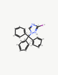 Ic1ncn(C(c2ccccc2)(c2ccccc2)c2ccccc2)n1